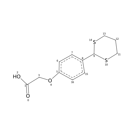 O=C(O)COc1ccc(C2SCCCS2)cc1